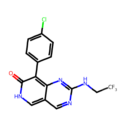 O=c1[nH]cc2cnc(NCC(F)(F)F)nc2c1-c1ccc(Cl)cc1